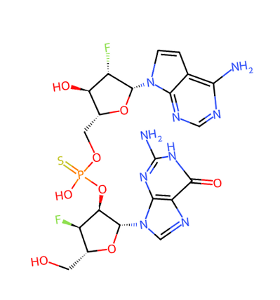 Nc1nc2c(ncn2[C@@H]2O[C@H](CO)[C@@H](F)[C@H]2OP(O)(=S)OC[C@H]2O[C@@H](n3ccc4c(N)ncnc43)[C@@H](F)[C@@H]2O)c(=O)[nH]1